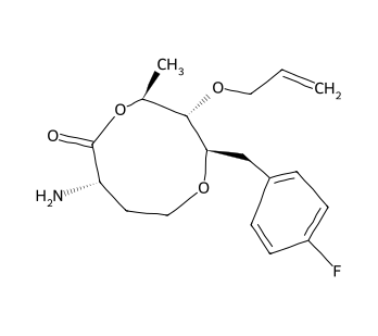 C=CCO[C@H]1[C@H](C)OC(=O)[C@@H](N)CCO[C@@H]1Cc1ccc(F)cc1